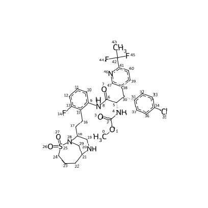 COC(=O)N[C@H](C(=O)Nc1cccc(F)c1CCC1CNC2CCCS(=O)(=O)N1C2)[C@@H](c1ccc(Cl)cc1)c1ccc(C(C)(F)F)nc1